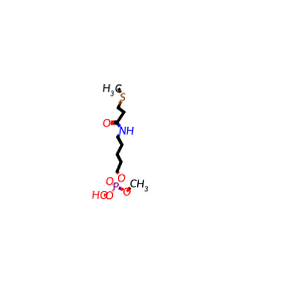 COP(=O)(OO)OCCCCCNC(=O)CCSC